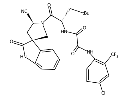 CC(C)(C)C[C@H](NC(=O)C(=O)Nc1ccc(Cl)cc1C(F)(F)F)C(=O)N1C[C@]2(C[C@H]1C#N)C(=O)Nc1ccccc12